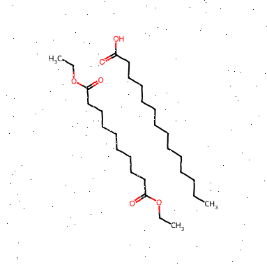 CCCCCCCCCCCCCC(=O)O.CCOC(=O)CCCCCCCCC(=O)OCC